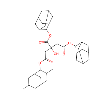 CC1CC2CC(C)C(OC(=O)CC(O)(CC(=O)OC3C4CC5CC(C4)CC3C5)C(=O)OC3C4CC5CC(C4)CC3C5)C(C1)C2